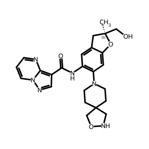 C[C@@]1(CO)Cc2cc(NC(=O)c3cnn4cccnc34)c(N3CCC4(CC3)CNOC4)cc2O1